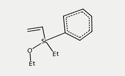 C=C[Si](CC)(OCC)c1ccccc1